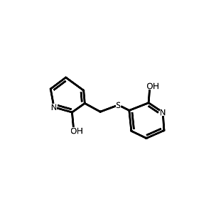 Oc1ncccc1CSc1cccnc1O